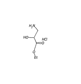 CCOC(=O)C(O)CN.Cl